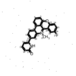 C[n+]1c2c3c(cccc3c3ccc(-c4cccc(=O)[nH]4)cc31)Oc1ccc(F)cc1-2